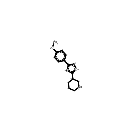 COc1ccc(-c2noc(C3CCCNC3)n2)cc1